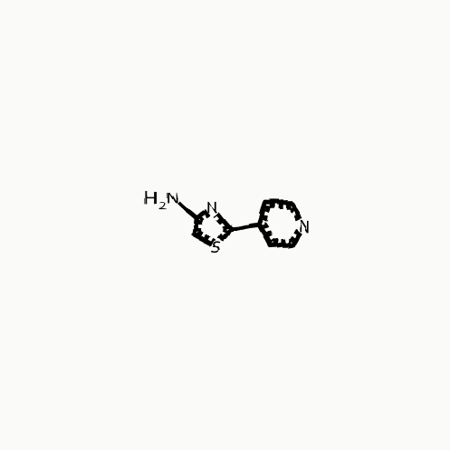 Nc1csc(-c2ccncc2)n1